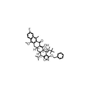 COc1c2c(c(C)c3cc(F)ccc13)C(=O)C1=C(O)[C@]3(O[Si](C)(C)C(C)(C)C)C(=O)c4c(OCc5ccccc5)noc4[C@@H](N(C)C)[C@@H]3C[C@@H]1C2